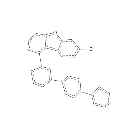 Clc1ccc2c(c1)oc1cccc(-c3cccc(-c4ccc(-c5ccccc5)cc4)c3)c12